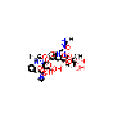 C#CC(=O)NCCNC(=O)C(C[C@@H](CC)CO[C@@H](C)OC(C)C(O)[C@H](O)CO)C[C@H](C)O[C@@H]1O[C@@H](CO)C(O)C(O[C@@H](CC2CCCCC2)C(=O)N2CCC2)C1NC(C)=O